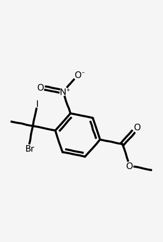 COC(=O)c1ccc(C(C)(Br)I)c([N+](=O)[O-])c1